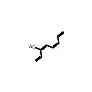 C=C/C=C\C=C(\C#N)C=C